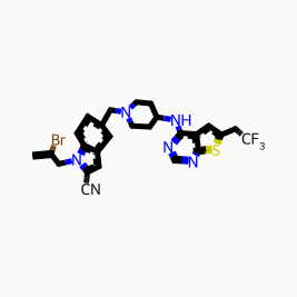 C=C(Br)Cn1c(C#N)cc2cc(CN3CCC(Nc4ncnc5sc(CC(F)(F)F)cc45)CC3)ccc21